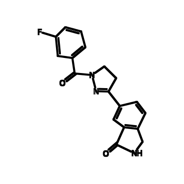 O=C1NCc2ccc(C3=NN(C(=O)c4cccc(F)c4)CC3)cc21